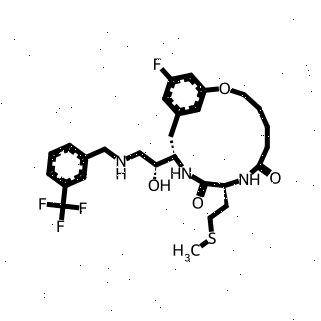 CSCC[C@@H]1NC(=O)CCCCOc2cc(F)cc(c2)C[C@@H]([C@H](O)CNCc2cccc(C(F)(F)F)c2)NC1=O